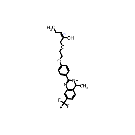 CC/C=C(/O)COCCOc1ccc(C2=Nc3cc(C(F)(F)F)ccc3C(C)N2)cc1